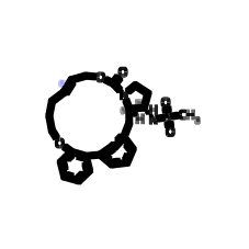 CS(=O)(=O)N[C@H]1CCN2C(=O)OC/C=C/CCCOc3ccccc3-c3cccc(c3)C[C@@H]12